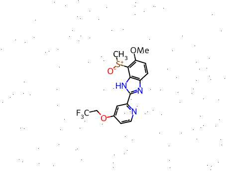 COc1ccc2nc(-c3cc(OCC(F)(F)F)ccn3)[nH]c2c1[S+](C)[O-]